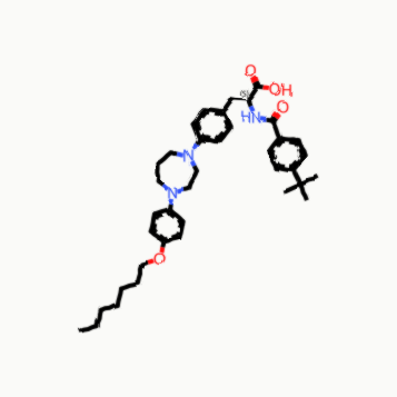 CCCCCCCOc1ccc(N2CCCN(c3ccc(C[C@H](NC(=O)c4ccc(C(C)(C)C)cc4)C(=O)O)cc3)CC2)cc1